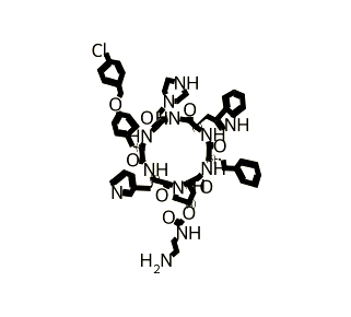 NCCNC(=O)O[C@@H]1C[C@H]2C(=O)N[C@@H](CCc3ccccc3)C(=O)N[C@H](Cc3c[nH]c4ccccc34)C(=O)N[C@@H](CN3CCNCC3)C(=O)N[C@@H](Cc3ccc(OCc4ccc(Cl)cc4)cc3)C(=O)N[C@@H](Cc3cccnc3)C(=O)N2C1